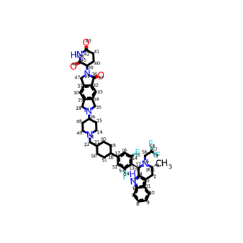 C[C@@H]1Cc2c([nH]c3ccccc23)[C@@H](c2c(F)cc(C3CCC(CN4CCC(N5Cc6cc7c(cc6C5)C(=O)N(C5CCC(=O)NC5=O)C7)CC4)CC3)cc2F)N1CC(F)F